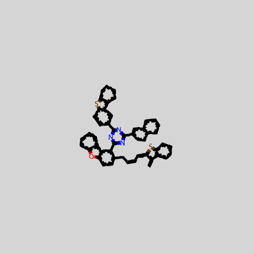 C=c1/c(=C\C=C/Cc2ccc3oc4ccccc4c3c2-c2nc(-c3ccc4ccccc4c3)nc(-c3ccc4sc5ccccc5c4c3)n2)sc2ccccc12